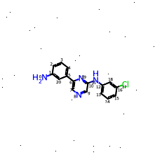 Nc1cccc(-c2cncc(Nc3cccc(Cl)c3)n2)c1